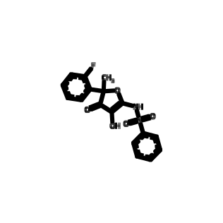 CC1(c2ccccc2F)OC(NS(=O)(=O)c2ccccc2)=C(O)C1=O